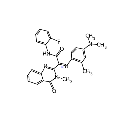 Cc1cc(N(C)C)ccc1/N=C(\C(=O)Nc1ccccc1F)c1nc2ccccc2c(=O)n1C